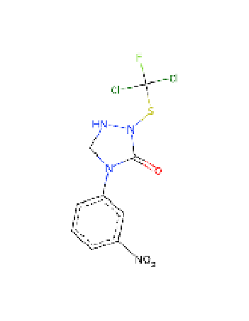 O=C1N(SC(F)(Cl)Cl)NCN1c1cccc([N+](=O)[O-])c1